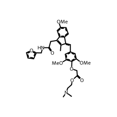 COc1ccc2c(c1)C(CC(=O)NCc1ccco1)=C(C)C2=Cc1cc(OC)c(OCC(=O)OCCN(C)C)c(OC)c1